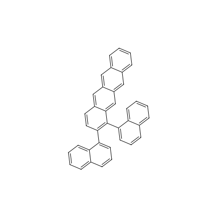 c1ccc2cc3cc4c(-c5cccc6ccccc56)c(-c5cccc6ccccc56)ccc4cc3cc2c1